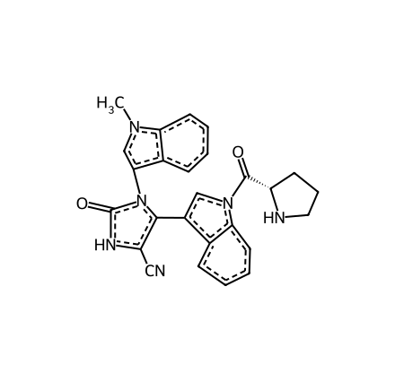 Cn1cc(-n2c(-c3cn(C(=O)[C@@H]4CCCN4)c4ccccc34)c(C#N)[nH]c2=O)c2ccccc21